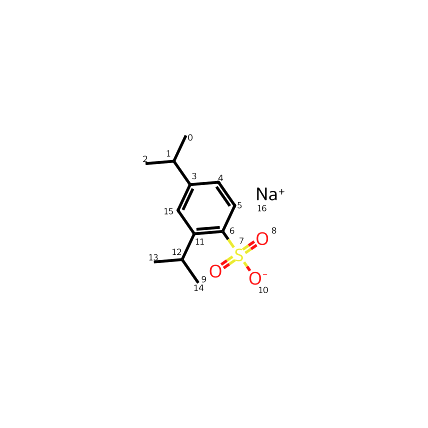 CC(C)c1ccc(S(=O)(=O)[O-])c(C(C)C)c1.[Na+]